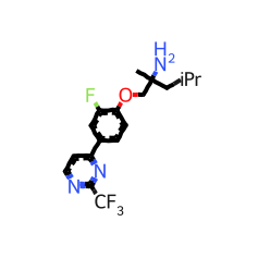 CC(C)CC(C)(N)COc1ccc(-c2ccnc(C(F)(F)F)n2)cc1F